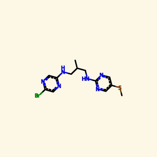 CSc1cnc(NCC(C)CNc2cnc(Br)cn2)nc1